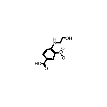 O=C(O)c1ccc(NCCO)c([N+](=O)[O-])c1